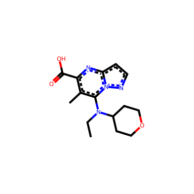 CCN(c1c(C)c(C(=O)O)nc2ccnn12)C1CCOCC1